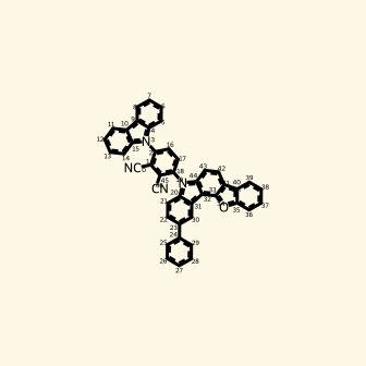 N#Cc1c(-n2c3ccccc3c3ccccc32)ccc(-n2c3ccc(-c4ccccc4)cc3c3c4oc5ccccc5c4ccc32)c1C#N